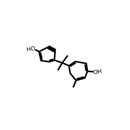 CC1=CC(O)=CC=C(C(C)(C)c2c#cc(O)cc2)C1